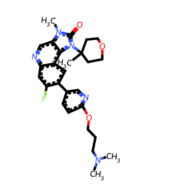 CN(C)CCCOc1ccc(-c2cc3c(cc2F)ncc2c3n(C3(C)CCOCC3)c(=O)n2C)cn1